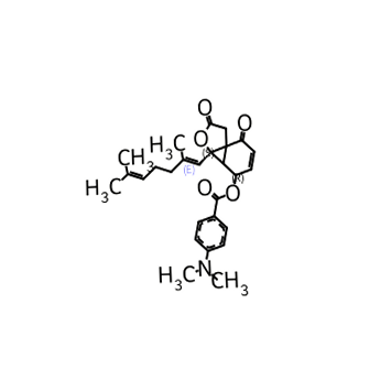 CC(C)=CCC/C(C)=C/[C@@]12OC(=O)CC13C(=O)C=C[C@@H](OC(=O)c1ccc(N(C)C)cc1)C32